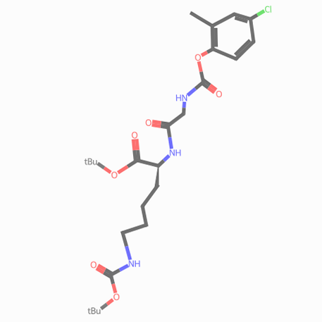 Cc1cc(Cl)ccc1OC(=O)NCC(=O)N[C@@H](CCCCNC(=O)OC(C)(C)C)C(=O)OC(C)(C)C